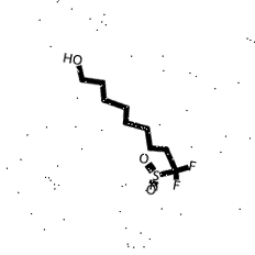 O=[SH](=O)C(F)(F)CCCCCCCCO